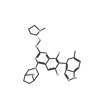 CC1=CC=c2[nH]ncc2=C(c2c(Cl)cc3c(N4CC5CCC(C4)N5)nc(OC[C@@H]4CCCN4C)nc3c2F)C1